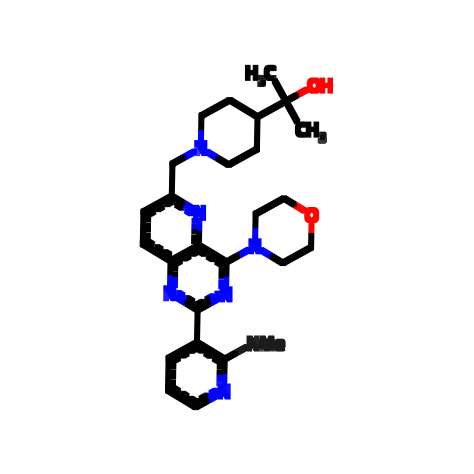 CNc1ncccc1-c1nc(N2CCOCC2)c2nc(CN3CCC(C(C)(C)O)CC3)ccc2n1